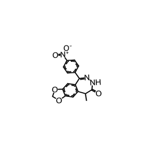 CC1C(=O)NN=C(c2ccc([N+](=O)[O-])cc2)c2cc3c(cc21)OCO3